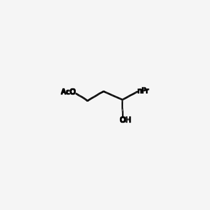 CCCC(O)CCOC(C)=O